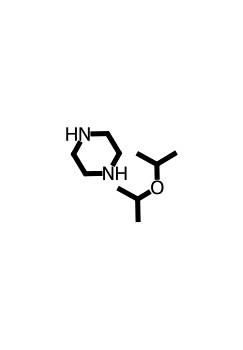 C1CNCCN1.CC(C)OC(C)C